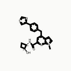 Cn1ccc2c(Cc3ccc(-c4cscn4)cc3)cc(C(=O)N[C@H]3CC[C@@H]3O)nc21